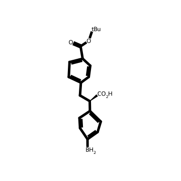 Bc1ccc([C@@H](Cc2ccc(C(=O)OC(C)(C)C)cc2)C(=O)O)cc1